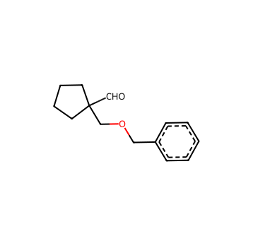 O=CC1(COCc2ccccc2)CCCC1